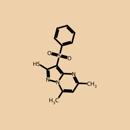 Cc1cc(C)n2nc(S)c(S(=O)(=O)c3ccccc3)c2n1